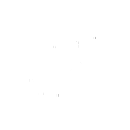 CCNC(=O)c1noc(-c2cc(C(C)C)c(C)cc2OCc2ccccc2)c1C#N